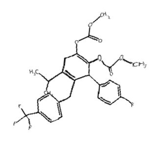 COC(=O)OC1=C(OC(=O)OC)C(c2ccc(F)cc2)C(Cc2ccc(C(F)(F)F)cc2)=C(C(C)C)C1